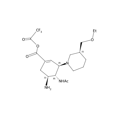 CCOC[C@H]1CCCN([C@@H]2C=C(C(=O)OC(=O)C(F)(F)F)C[C@H](N)[C@H]2NC(C)=O)C1